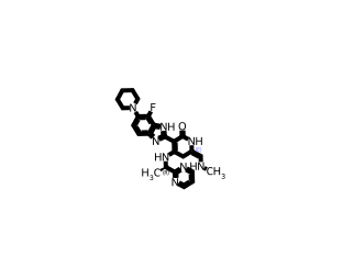 CN/C=C1\CC(N[C@H](C)c2ncccn2)=C(c2nc3ccc(N4CCCCC4)c(F)c3[nH]2)C(=O)N1